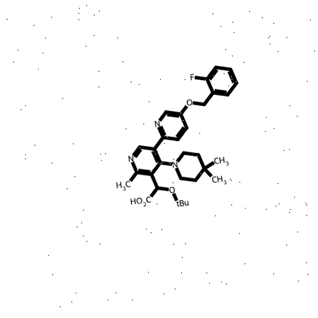 Cc1ncc(-c2ccc(OCc3ccccc3F)cn2)c(N2CCC(C)(C)CC2)c1C(OC(C)(C)C)C(=O)O